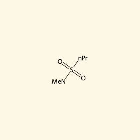 [CH2]CCS(=O)(=O)NC